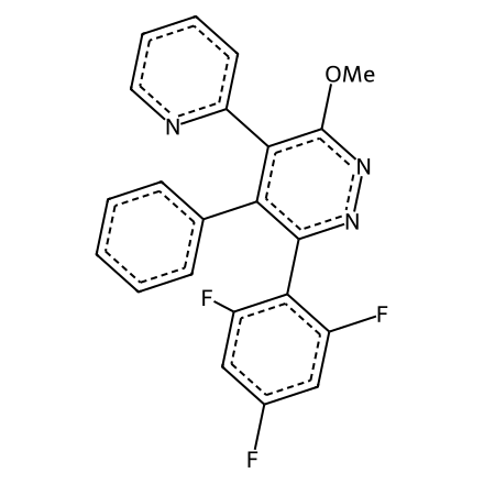 COc1nnc(-c2c(F)cc(F)cc2F)c(-c2ccccc2)c1-c1ccccn1